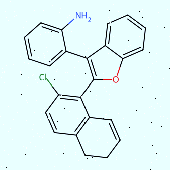 Nc1ccccc1-c1c(-c2c(Cl)ccc3c2C=CCC3)oc2ccccc12